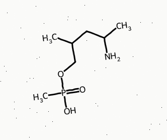 CC(N)CC(C)COP(C)(=O)O